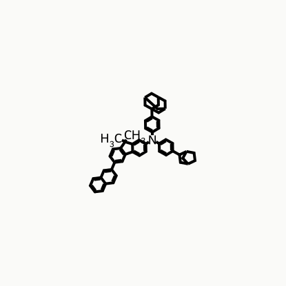 CC1(C)c2ccc(-c3ccc4ccccc4c3)cc2-c2ccc(N(c3ccc(C4CC5CCC4C5)cc3)c3ccc(C45CC6CC(CC(C6)C4)C5)cc3)cc21